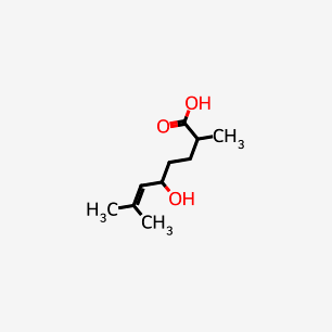 CC(C)=CC(O)CCC(C)C(=O)O